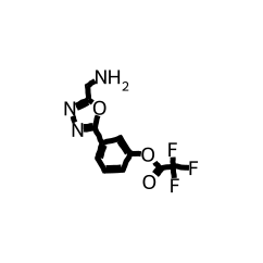 NCc1nnc(-c2cccc(OC(=O)C(F)(F)F)c2)o1